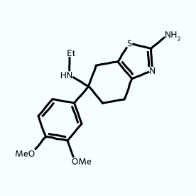 CCNC1(c2ccc(OC)c(OC)c2)CCc2nc(N)sc2C1